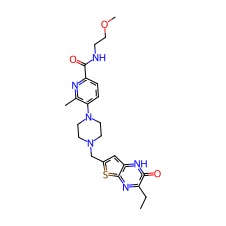 CCc1nc2sc(CN3CCN(c4ccc(C(=O)NCCOC)nc4C)CC3)cc2[nH]c1=O